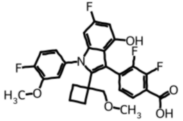 COCC1(c2c(-c3ccc(C(=O)O)c(F)c3F)c3c(O)cc(F)cc3n2-c2ccc(F)c(OC)c2)CCC1